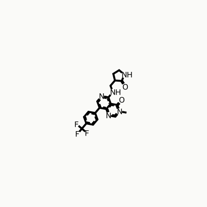 Cn1cnc2c(-c3ccc(C(F)(F)F)cc3)cnc(NCC3CCNC3=O)c2c1=O